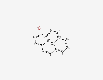 BrC1=CC=C2C=CC3=CC=CC4=CC=C1C2C34